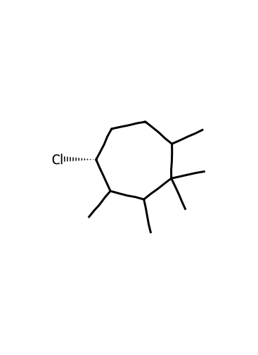 CC1C(C)C(C)(C)C(C)CC[C@H]1Cl